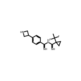 CC(F)(F)C1(C(=N)NC(=N)c2ccc(C3CNC3)cc2)CC1